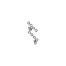 C1=CCC(c2ccc3c4ccc(-c5ccccc5)cc4c4ncc(-c5cccc(-c6ccc(-c7ccc(-c8cccc9c8oc8ccccc89)cc7)cc6)c5)nc4c3c2)C=C1